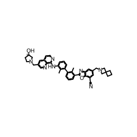 Cc1c(Nc2nccc3cc(CN4CC[C@@H](O)C4)cnc23)cccc1-c1cccc(-c2nc3cc(CN4CC5(CCC5)C4)cc(C#N)c3o2)c1C